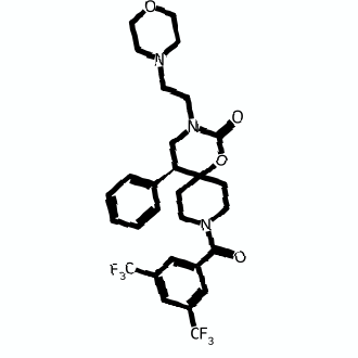 O=C1OC2(CCN(C(=O)c3cc(C(F)(F)F)cc(C(F)(F)F)c3)CC2)[C@@H](c2ccccc2)CN1CCN1CCOCC1